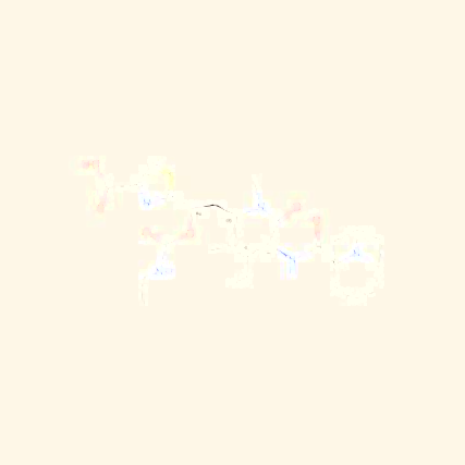 CCNC(=O)O[C@H](C[C@H](C(C)C)N(C)C(=O)[C@@H](NC(=O)C12CCCC(CCC1)N2C)[C@@H](C)CC)c1nc(C(=O)O)cs1